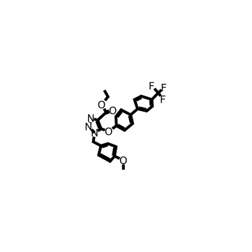 CCOC(=O)c1nnn(Cc2ccc(OC)cc2)c1Oc1ccc(-c2ccc(C(F)(F)F)cc2)cc1